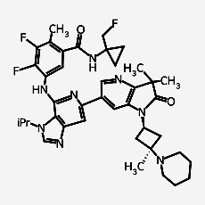 Cc1c(C(=O)NC2(CF)CC2)cc(Nc2nc(-c3cnc4c(c3)N([C@H]3C[C@@](C)(N5CCCCC5)C3)C(=O)C4(C)C)cc3ncn(C(C)C)c23)c(F)c1F